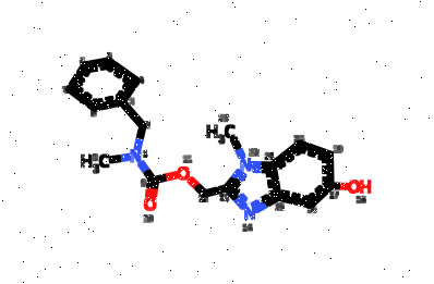 CN(Cc1ccccc1)C(=O)OCc1nc2cc(O)ccc2n1C